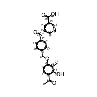 CC(=O)c1ccc(OCc2ccc([S+]([O-])c3cncc(C(=O)O)c3)cc2)c(C)c1O